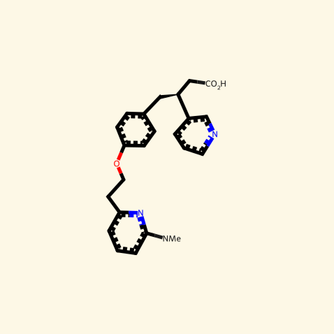 CNc1cccc(CCOc2ccc(C[C@@H](CC(=O)O)c3cccnc3)cc2)n1